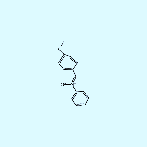 COc1ccc(C=[N+]([O-])c2ccccc2)cc1